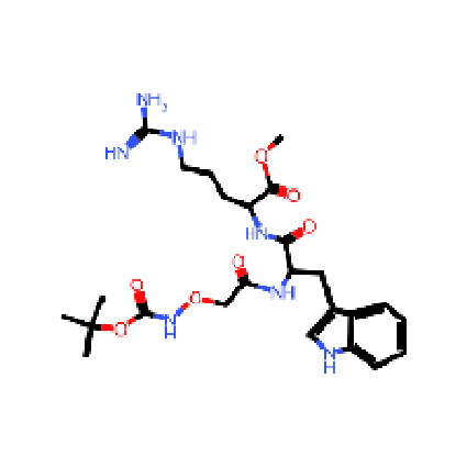 COC(=O)C(CCCNC(=N)N)NC(=O)C(Cc1c[nH]c2ccccc12)NC(=O)CONC(=O)OC(C)(C)C